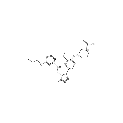 CCCOc1ccnc(NCc2c(-c3ccc(O[C@H]4CCC[C@H](C(=O)O)C4)c(CC)n3)nnn2C)n1